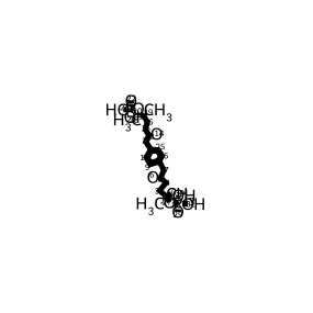 CC(C)(CCC(=O)Cc1ccc(CC(=O)CCC(C)(C)OP(=O)(O)O)cc1)OP(=O)(O)O